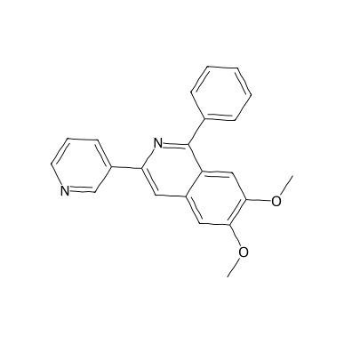 COc1cc2cc(-c3cccnc3)nc(-c3ccccc3)c2cc1OC